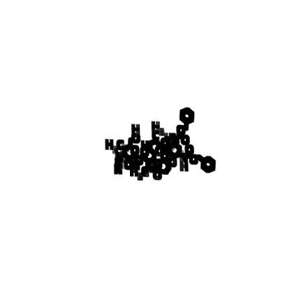 CC1C[C@@H]2OC(O[C@H]3OC(CO)[C@@H](C)[C@H](N=[N+]=[N-])C3O)C3C(OC(=O)N3C)C2O[C@@H]1O[C@@H]1C(NC(=O)OCc2ccccc2)C[C@@H](NC(=O)OCc2ccccc2)C2OC3(CCCCC3)O[C@H]21